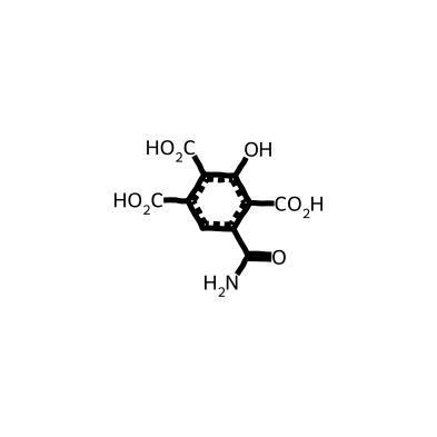 NC(=O)c1cc(C(=O)O)c(C(=O)O)c(O)c1C(=O)O